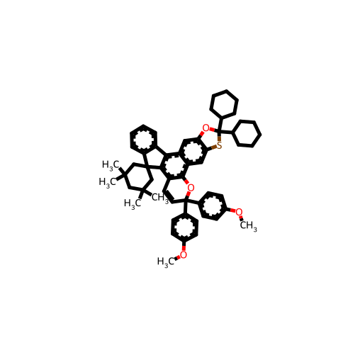 COc1ccc(C2(c3ccc(OC)cc3)C=Cc3c4c(c5cc6c(cc5c3O2)SC(C2CCCCC2)(C2CCCCC2)O6)-c2ccccc2C42CC(C)(C)CC(C)(C)C2)cc1